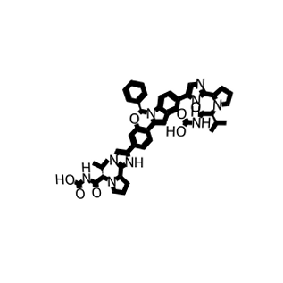 CC(C)[C@@H](C(=O)NC(=O)O)N1CCCC1c1ncc(-c2ccc3c(c2)O[C@@H](c2ccccc2)n2c-3cc3cc(-c4cnc(C5CCCN5[C@H](C(=O)NC(=O)O)C(C)C)[nH]4)ccc32)[nH]1